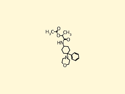 CC(=O)OC(C)C(=O)NC1CCC(c2ccccc2)(N2CCOCC2)CC1